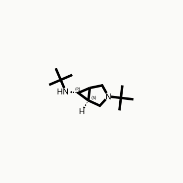 CC(C)(C)N[C@@H]1C2CN(C(C)(C)C)C[C@H]21